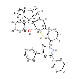 c1ccc(-c2cc(-c3ccccc3)nc(-c3cccc4c3sc3c5c(ccc34)C3(c4ccccc4O5)c4ccccc4-c4ccccc43)c2)cc1